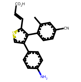 Cc1cc(C#N)ccc1-c1c(-c2ccc(N)cc2)csc1C=CC(=O)O